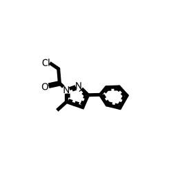 Cc1cc(-c2ccccc2)nn1C(=O)CCl